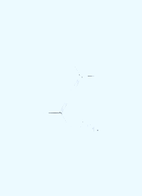 CC(=O)[O-].O=[N+]([O-])[O-].[PbH2].[Zn+2]